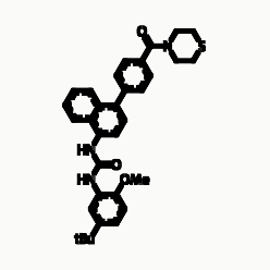 COc1ccc(C(C)(C)C)cc1NC(=O)Nc1ccc(-c2ccc(C(=O)N3CCSCC3)cc2)c2ccccc12